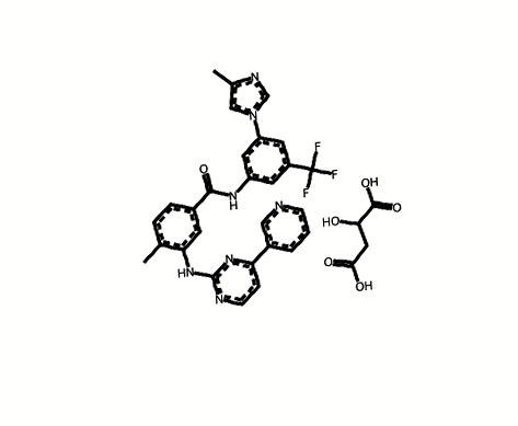 Cc1cn(-c2cc(NC(=O)c3ccc(C)c(Nc4nccc(-c5cccnc5)n4)c3)cc(C(F)(F)F)c2)cn1.O=C(O)CC(O)C(=O)O